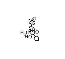 C[n+]1c(O)c(-c2ccccc2)c(=O)n2c1SC(c1cnc(Cl)s1)C2